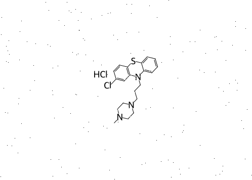 CN1CCN(CCCN2c3ccccc3Sc3ccc(Cl)cc32)CC1.Cl